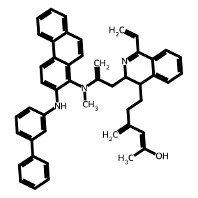 C=CC1=NC(CC(=C)N(C)c2c(Nc3cccc(-c4ccccc4)c3)ccc3c2ccc2ccccc23)C(CCC(=C)/C=C(\C)O)c2ccccc21